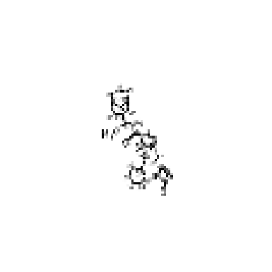 CC(NC(=O)c1cnn(CCc2noc(=O)[nH]2)c1OCC1CCCCC1)C1CC2CCCC(C2)C1